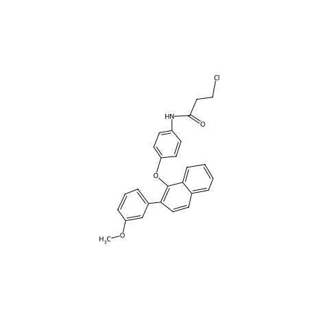 COc1cccc(-c2ccc3ccccc3c2Oc2ccc(NC(=O)CCCl)cc2)c1